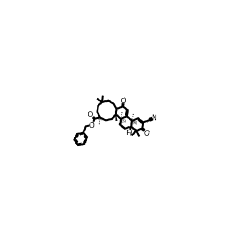 CC1(C)CCC2C(=O)C=C3[C@@]4(C)C=C(C#N)C(=O)C(C)(C)[C@@H]4CC[C@@]3(C)[C@]2(C)CC[C@@](C)(C(=O)OCc2ccccc2)CC1